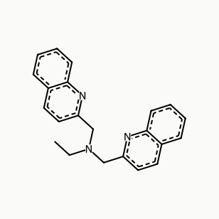 CCN(Cc1ccc2ccccc2n1)Cc1ccc2ccccc2n1